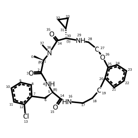 C[C@@H]1C(=O)N[C@H](Cc2ccccc2Cl)C(=O)NCCCc2ccccc2OCCN[C@@H](C2CC2)C(=O)N1C